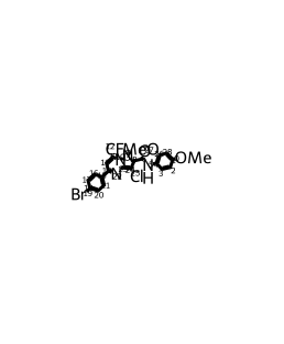 COc1ccc(NC(=O)c2nn3c(C(F)(F)F)cc(-c4ccc(Br)cc4)nc3c2Cl)c(OC)c1